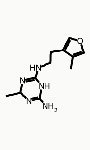 Cc1cocc1CCNC1=NC(C)N=C(N)N1